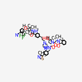 Cc1ncsc1-c1ccc(CNC(=O)[C@@H]2C[C@@H](O)CN2C(=O)[C@H](C(C)C)N2Cc3ccccc3C2=O)c(N2CCN(CCCc3ccc(C(=O)NC4C(C)(C)C(Oc5ccc(C#N)c(C(F)(F)F)c5)C4(C)C)cc3)CC2)c1